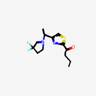 C=C(c1csc(C(=O)CCC)n1)N1CCC(F)(F)C1